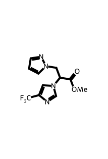 COC(=O)C(Cn1cccn1)n1cnc(C(F)(F)F)c1